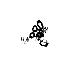 Nc1cccc(-c2nn(C3CCCCO3)c3ccc(C4(C(c5ccccc5)(c5ccccc5)c5ccccc5)N=CN=N4)cc23)c1